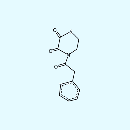 O=C1SCCN(C(=O)Cc2[c]cccc2)C1=O